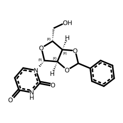 O=c1ccn([C@@H]2O[C@H](CO)[C@H]3OC(c4ccccc4)O[C@H]32)c(=O)[nH]1